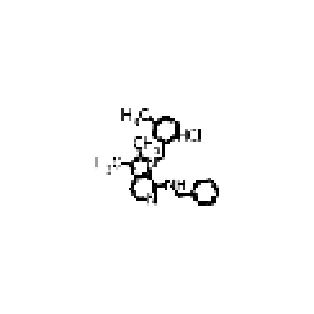 Cc1cccc(Cn2c(C)c(C)c3ccnc(NCc4ccccc4)c32)c1.Cl